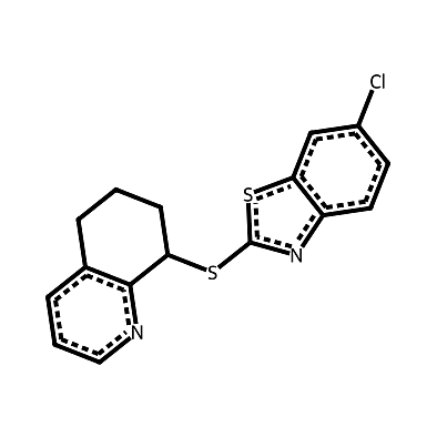 Clc1ccc2nc(SC3CCCc4cccnc43)sc2c1